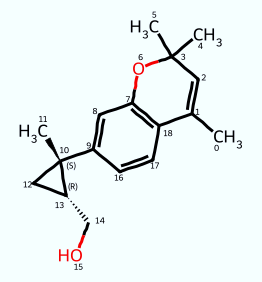 CC1=CC(C)(C)Oc2cc([C@@]3(C)C[C@H]3CO)ccc21